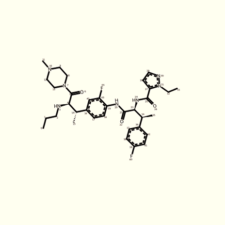 CCCN[C@@H](C(=O)N1CCN(C)CC1)[C@@H](C)c1ccc(NC(=O)[C@@H](NC(=O)c2ccnn2CC)[C@@H](C)c2ccc(F)cc2)c(F)c1